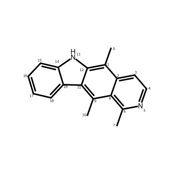 Cc1c2ccnc(C)c2c(C)c2c1[nH]c1ccccc12